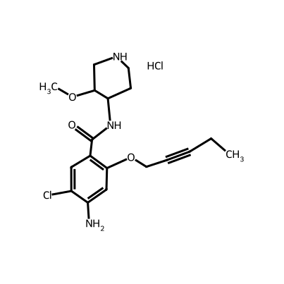 CCC#CCOc1cc(N)c(Cl)cc1C(=O)NC1CCNCC1OC.Cl